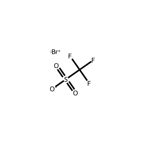 O=S(=O)([O-])C(F)(F)F.[Br+]